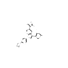 Cc1noc(C)c1-c1cnc2c(c1)c(-c1ccc(C(=O)O)cc1OC(C)C)cn2-c1cnc(N2CCC2)nc1